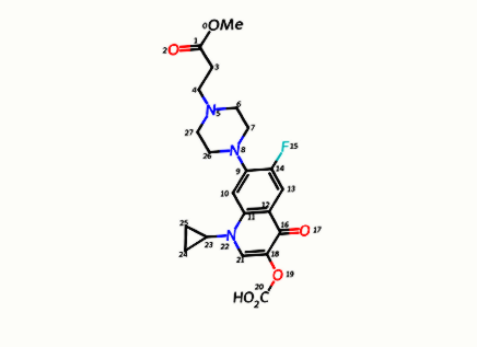 COC(=O)CCN1CCN(c2cc3c(cc2F)c(=O)c(OC(=O)O)cn3C2CC2)CC1